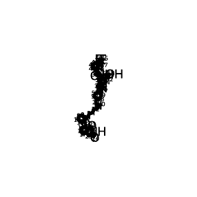 CN(CCCCCc1ccccc1Oc1cccc2c1C(=O)NC(=O)C2)C[C@H]1CC[C@H](n2cc3cc(NC(=O)c4cccc(C(F)(F)F)n4)c(C(C)(C)O)cc3n2)CC1